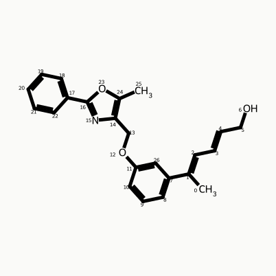 CC(=CC=CCO)c1cccc(OCc2nc(-c3ccccc3)oc2C)c1